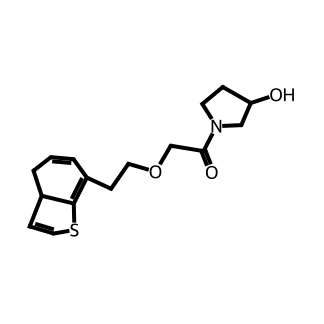 O=C(COCCC1=C2SC=CC2CC=C1)N1CCC(O)C1